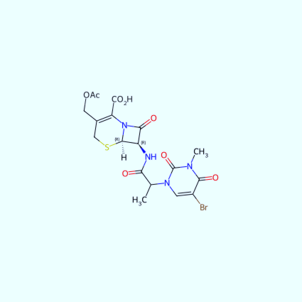 CC(=O)OCC1=C(C(=O)O)N2C(=O)[C@@H](NC(=O)C(C)n3cc(Br)c(=O)n(C)c3=O)[C@H]2SC1